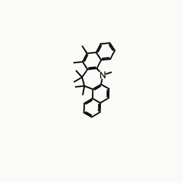 Cc1c2c(c3ccccc3c1C)N(C)c1ccc3ccccc3c1C(C)(C)C2(C)C